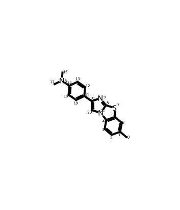 Cc1ccc2c(c1)sc1nc(-c3ccc(N(C)C)cc3)cn12